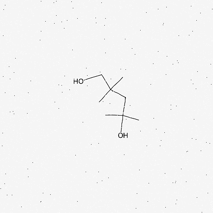 CC(C)(O)CC(C)(C)CO